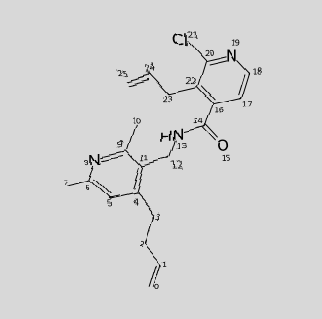 C=CCCc1cc(C)nc(C)c1CNC(=O)c1ccnc(Cl)c1CC=C